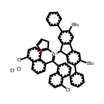 CC(C)(C)c1cc2c(cc1-c1ccccc1)[CH]([Zr+2]([C]1=CC=CC1)=[C](c1cccc3c(Cl)cccc13)c1cccc3c(Cl)cccc13)c1cc(-c3ccccc3)c(C(C)(C)C)cc1-2.[Cl-].[Cl-]